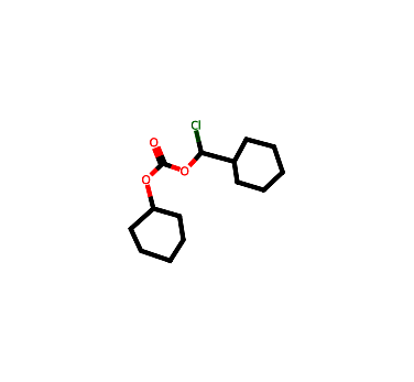 O=C(OC1CCCCC1)OC(Cl)C1CCCCC1